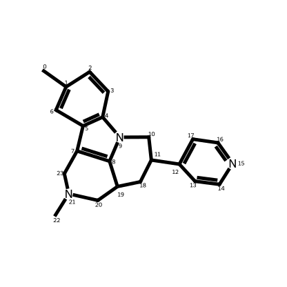 Cc1ccc2c(c1)c1c3n2CC(c2ccncc2)CC3CN(C)C1